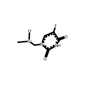 C[S+]([O-])Cn1cc(F)c(=O)[nH]c1=O